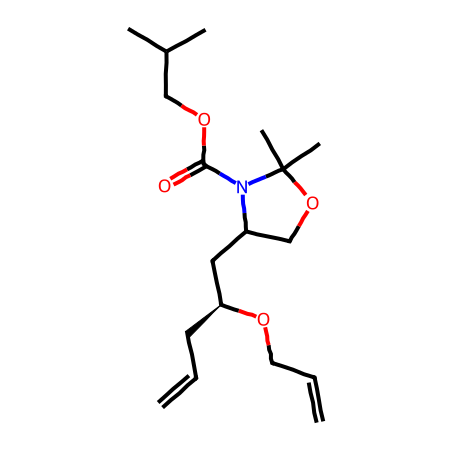 C=CCO[C@@H](CC=C)CC1COC(C)(C)N1C(=O)OCC(C)C